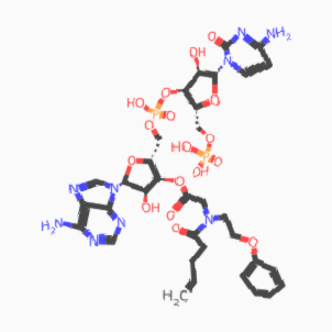 C=CCCC(=O)N(CCOc1ccccc1)CC(=O)O[C@H]1[C@@H](O)[C@H](n2cnc3c(N)ncnc32)O[C@@H]1COP(=O)(O)O[C@H]1[C@@H](O)[C@H](n2ccc(N)nc2=O)O[C@@H]1COP(=O)(O)O